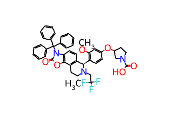 COc1cc(O[C@H]2CCN(C(=O)O)C2)ccc1[C@@H]1c2ccc3c(oc(=O)n3C(c3ccccc3)(c3ccccc3)c3ccccc3)c2C[C@@H](C)N1CC(F)(F)F